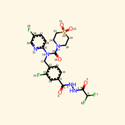 O=C(NNC(=O)C(F)F)c1ccc(CN(C(=O)N2CCS(=O)(=O)CC2)c2ccc(F)cn2)c(F)c1